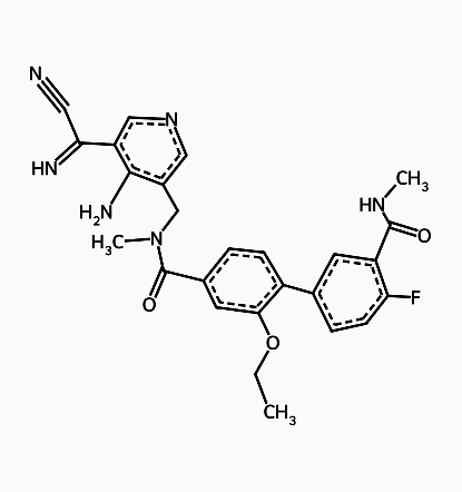 CCOc1cc(C(=O)N(C)Cc2cncc(C(=N)C#N)c2N)ccc1-c1ccc(F)c(C(=O)NC)c1